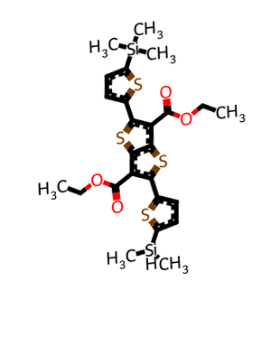 CCOC(=O)c1c(-c2ccc([SiH](C)C)s2)sc2c(C(=O)OCC)c(-c3ccc([Si](C)(C)C)s3)sc12